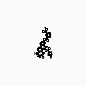 COC(=O)c1cccc(C(=O)Oc2ccc(-c3ccc4c(c3COC(=O)C3CC=C(C)S3)N(C)C(=O)C(C)(C)N4)c(OC)c2)c1